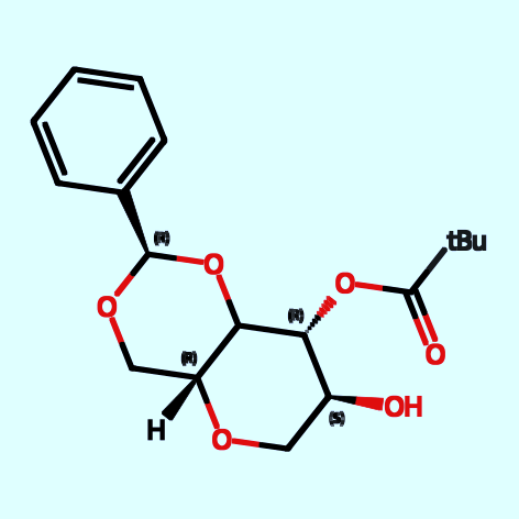 CC(C)(C)C(=O)O[C@H]1C2O[C@H](c3ccccc3)OC[C@H]2OC[C@@H]1O